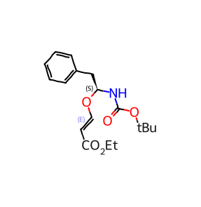 CCOC(=O)/C=C/O[C@@H](Cc1ccccc1)NC(=O)OC(C)(C)C